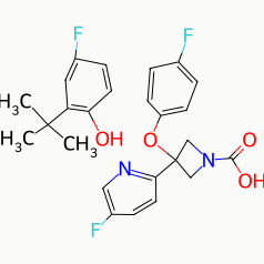 CC(C)(C)c1cc(F)ccc1O.O=C(O)N1CC(Oc2ccc(F)cc2)(c2ccc(F)cn2)C1